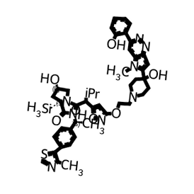 Cc1ncsc1-c1ccc([C@H](C)NC(=O)[C@@]2([SiH3])C[C@@H](O)CN2C(=O)C(c2cc(OCCN3CCC(O)(c4cc5nnc(-c6ccccc6O)cc5n4C)CC3)no2)C(C)C)cc1